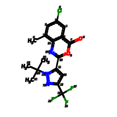 Cc1cc(Cl)cc2c(=O)oc(-c3cc(C(F)(F)F)nn3C(C)(C)C)nc12